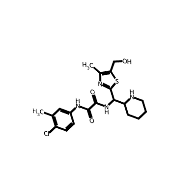 Cc1cc(NC(=O)C(=O)NC(c2nc(C)c(CO)s2)C2CCCCN2)ccc1Cl